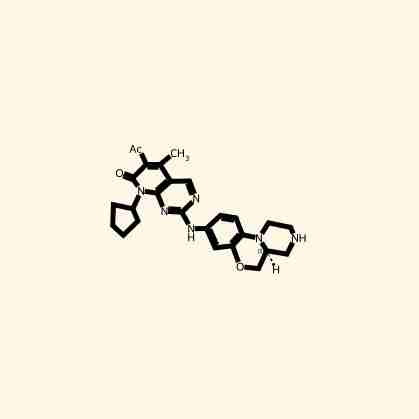 CC(=O)c1c(C)c2cnc(Nc3ccc4c(c3)OC[C@@H]3CNCCN43)nc2n(C2CCCC2)c1=O